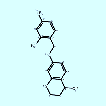 OC1CCSc2cc(OCc3ccc(C(F)(F)F)cc3C(F)(F)F)ccc21